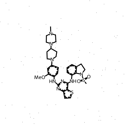 COc1cc(N2CCC(N3CCN(C)CC3)CC2)ccc1Nc1nc(Nc2cccc3c2N(S(C)(=O)=O)CC3)c2sccc2n1